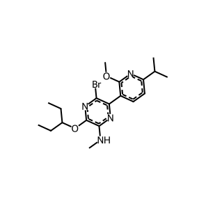 CCC(CC)Oc1nc(Br)c(-c2ccc(C(C)C)nc2OC)nc1NC